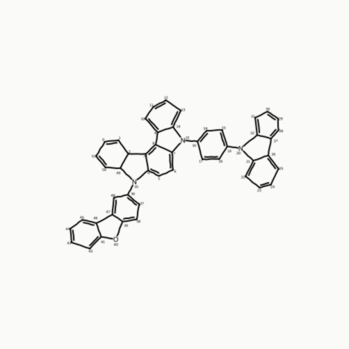 C1=CC2c3c(ccc4c3c3ccccc3n4-c3ccc(-n4c5ccccc5c5ccccc54)cc3)N(c3ccc4oc5ccccc5c4c3)C2C=C1